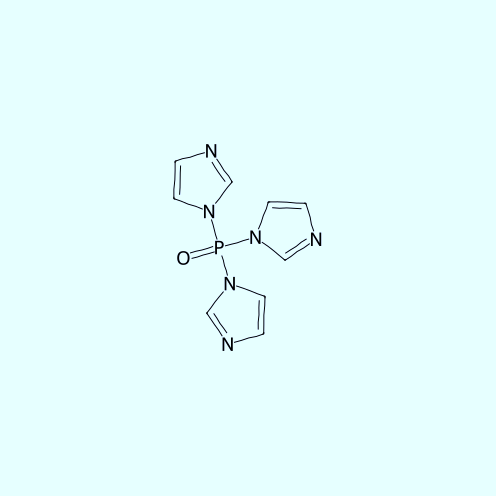 O=P(n1ccnc1)(n1ccnc1)n1ccnc1